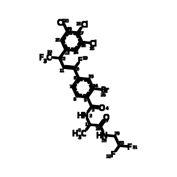 CC(NC(=O)c1ccc(/C(F)=C/C(c2cc(Cl)c(Cl)c(Cl)c2)C(F)(F)F)cc1Br)C(=O)NCC(F)F